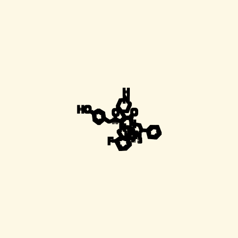 NC(Cn1c(=O)c2c(n(Cc3c(F)cccc3C(F)(F)F)c1=O)[C@@H](Cc1ccc(O)cc1)OC21CCNCC1)c1ccccc1